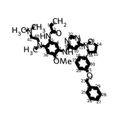 C=CC(=O)Nc1cc(Nc2cc(N3OCC[C@@H]3c3cccc(OCc4ccccc4)c3)ncn2)c(OC)cc1N(C)CCN(C)C